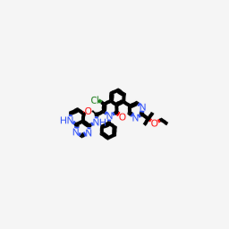 CCOC(C)(C)c1ncc(-c2cccc3c(Cl)c([C@H](C)Nc4ncnc5[nH]ccc(=O)c45)n(-c4ccccc4)c(=O)c23)cn1